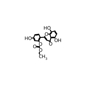 CCOC(=O)Oc1cc(O)ccc1-c1cc(=O)c2c(O)ccc(O)c2o1